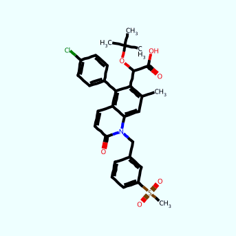 Cc1cc2c(ccc(=O)n2Cc2cccc(S(C)(=O)=O)c2)c(-c2ccc(Cl)cc2)c1C(OC(C)(C)C)C(=O)O